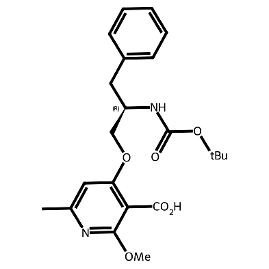 COc1nc(C)cc(OC[C@@H](Cc2ccccc2)NC(=O)OC(C)(C)C)c1C(=O)O